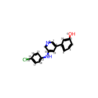 Oc1cccc(-c2cncc(Nc3ccc(Cl)cc3)c2)c1